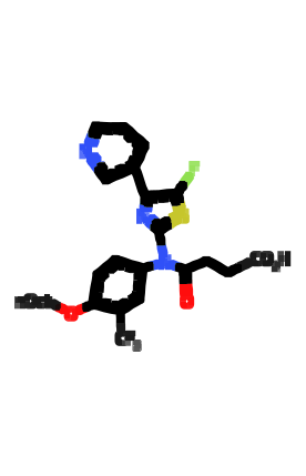 CCCCCCCCOc1ccc(N(C(=O)CCC(=O)O)c2nc(-c3cccnc3)c(F)s2)cc1C(F)(F)F